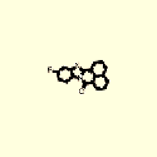 O=c1c2cccc3cccc(c32)c2nc3cc(F)ccc3n12